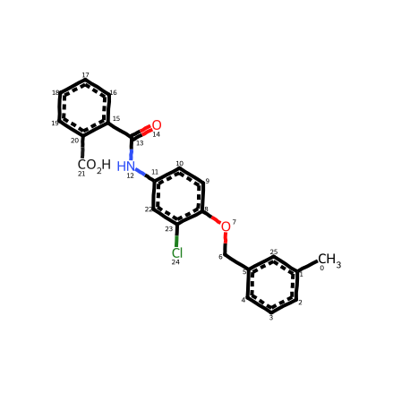 Cc1cccc(COc2ccc(NC(=O)c3ccccc3C(=O)O)cc2Cl)c1